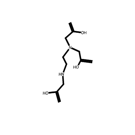 C=C(O)CNCCN(CC(=C)O)CC(=C)O